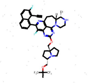 C#Cc1c(F)ccc2cccc(-c3nc4c5c(nc(OC[C@@]67CCCN6[C@H](COC(C)(C(F)(F)F)C(F)(F)F)CC7)nc5c3F)N3CCN[C@@H](CC)[C@H]3CC4)c12